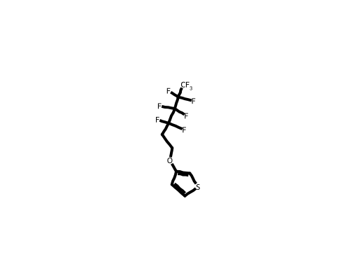 FC(F)(F)C(F)(F)C(F)(F)C(F)(F)CCOc1ccsc1